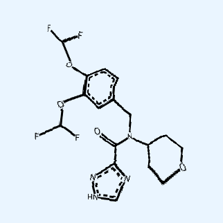 O=C(c1nc[nH]n1)N(Cc1ccc(OC(F)F)c(OC(F)F)c1)C1CCOCC1